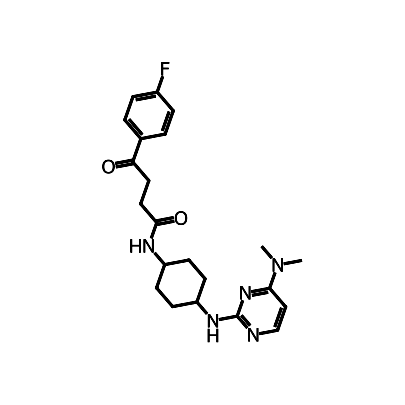 CN(C)c1ccnc(NC2CCC(NC(=O)CCC(=O)c3ccc(F)cc3)CC2)n1